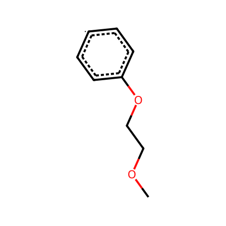 COCCOc1cc[c]cc1